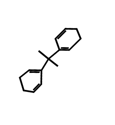 CC(C)(C1=CCCC=C1)C1=CCCC=C1